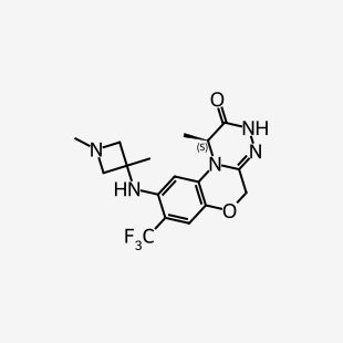 C[C@H]1C(=O)NN=C2COc3cc(C(F)(F)F)c(NC4(C)CN(C)C4)cc3N21